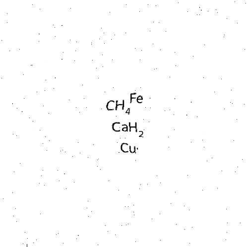 C.[CaH2].[Cu].[Fe]